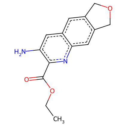 CCOC(=O)c1nc2cc3c(cc2cc1N)COC3